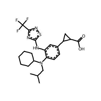 CC(C)CN(c1ccc(C2CC2C(=O)O)cc1Nc1nc(C(F)(F)F)ns1)C1CCCCC1